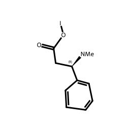 CN[C@H](CC(=O)OI)c1ccccc1